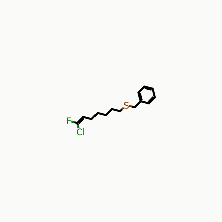 FC(Cl)=CCCCCCSCc1ccccc1